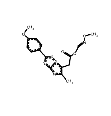 CON=COC(=O)Cc1c(C)nc2sc(-c3ccc(OC)cc3)nn12